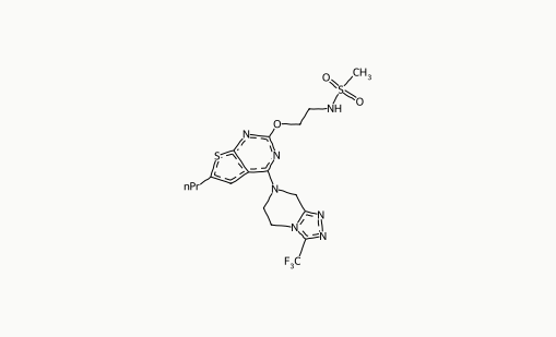 CCCc1cc2c(N3CCn4c(nnc4C(F)(F)F)C3)nc(OCCNS(C)(=O)=O)nc2s1